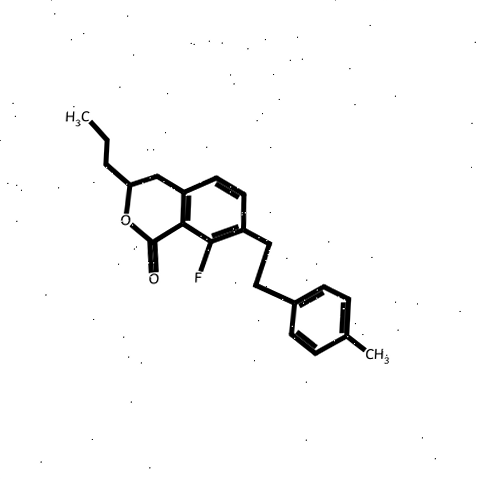 CCCC1Cc2ccc(CCc3ccc(C)cc3)c(F)c2C(=O)O1